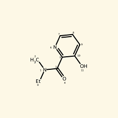 CCN(C)C(=O)c1ncccc1O